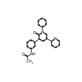 CC(=O)Nc1cccc(-c2cc(-c3ccccn3)cn(-c3ccccc3)c2=O)c1